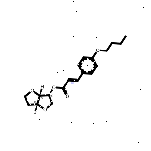 CCCCOc1ccc(/C=C/C(=O)O[C@H]2CO[C@@H]3CCO[C@H]23)cc1